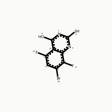 Oc1nc(S)nc2c(F)c(Br)cc(F)c12